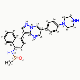 C[S+]([O-])Nc1ccc(-c2cnn3cc(-c4ccc(N5CCNCC5)cc4)cnc23)c2ccccc12